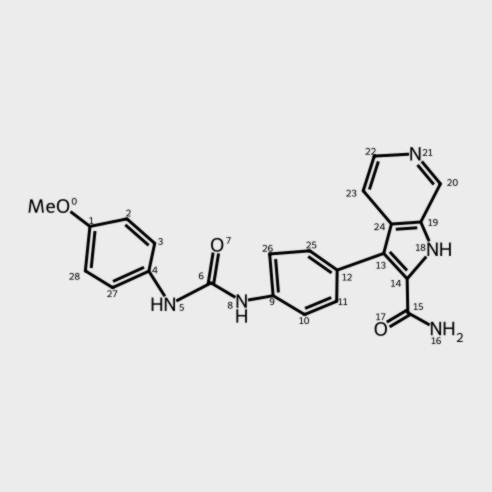 COc1ccc(NC(=O)Nc2ccc(-c3c(C(N)=O)[nH]c4cnccc34)cc2)cc1